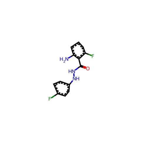 Nc1cccc(F)c1C(=O)NNc1ccc(F)cc1